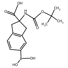 CC(C)(C)OC(=O)NC1(C(=O)O)Cc2ccc(B(O)O)cc2C1